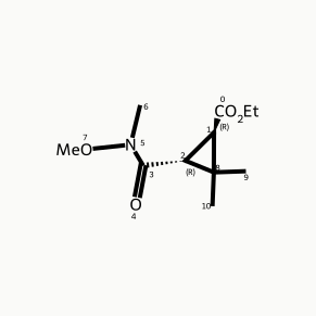 CCOC(=O)[C@@H]1[C@@H](C(=O)N(C)OC)C1(C)C